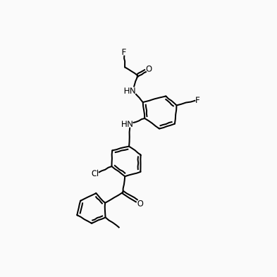 Cc1ccccc1C(=O)c1ccc(Nc2ccc(F)cc2NC(=O)CF)cc1Cl